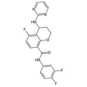 O=C(Nc1ccc(F)c(F)c1)c1ccc(F)c2c1OCCC2Nc1ncccn1